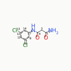 NC(=O)CC(=O)Nc1cc(Cl)cc(Cl)c1